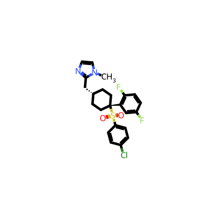 Cn1ccnc1C[C@H]1CC[C@@](c2cc(F)ccc2F)(S(=O)(=O)c2ccc(Cl)cc2)CC1